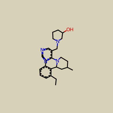 CCc1cccc(CC)c1C1CC(C)CCN1c1ncncc1CN1CCCC(O)C1